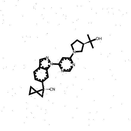 CC(C)(O)[C@@H]1CCN(c2cc(-n3ncc4ccc([C@@]5(C#N)CC56CC6)cc43)ncn2)C1